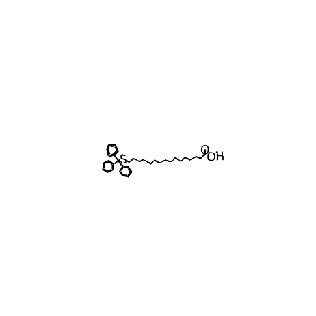 O=C(O)CCCCCCCCCCCCCCCSC(c1ccccc1)(c1ccccc1)c1ccccc1